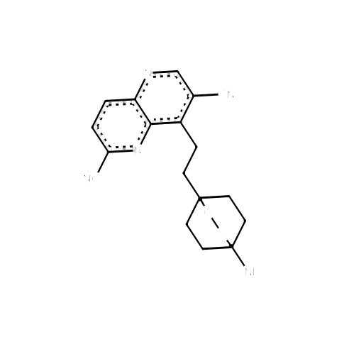 N#Cc1ccc2ncc(C#N)c(CCC34CCC(N)(CC3)CO4)c2n1